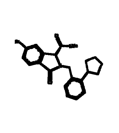 CNC(=O)C1c2cc(Br)ccc2C(=O)N1Cc1ccccc1C1CCCC1